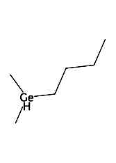 CCC[CH2][GeH]([CH3])[CH3]